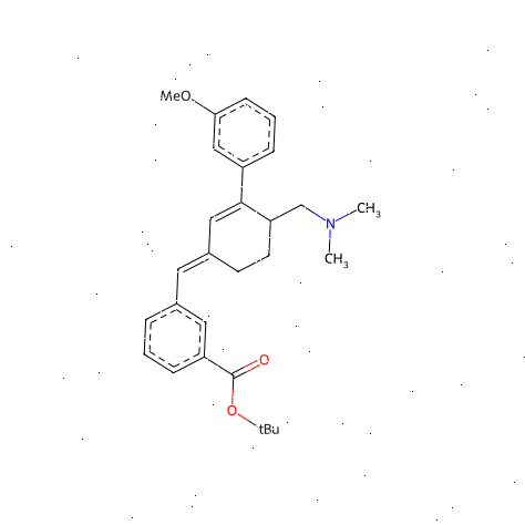 COc1cccc(C2=C/C(=C/c3cccc(C(=O)OC(C)(C)C)c3)CCC2CN(C)C)c1